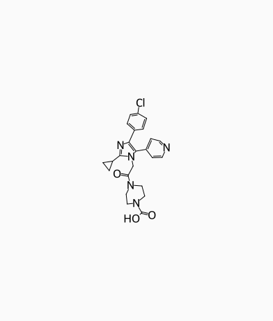 O=C(O)N1CCN(C(=O)Cn2c(C3CC3)nc(-c3ccc(Cl)cc3)c2-c2ccncc2)CC1